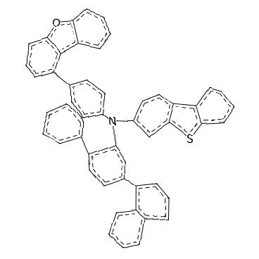 c1ccc(-c2ccc(-c3cccc4ccccc34)cc2N(c2ccc(-c3cccc4oc5ccccc5c34)cc2)c2ccc3c(c2)sc2ccccc23)cc1